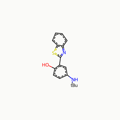 CC(C)(C)Nc1ccc(O)c(-c2nc3ccccc3s2)c1